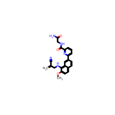 C=C(C#N)CNc1c(OC)ccc2ccc(-c3cccc(C(=O)NCC(N)=O)n3)cc12